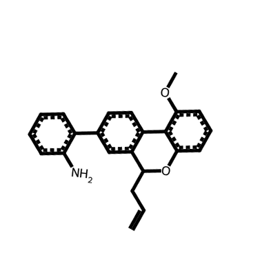 C=CCC1Oc2cccc(OC)c2-c2ccc(-c3ccccc3N)cc21